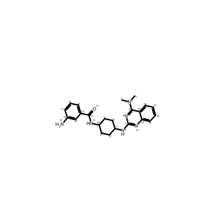 CN(C)c1nc(NC2CCC(NC(=O)c3cccc(N)c3)CC2)nc2ccccc12